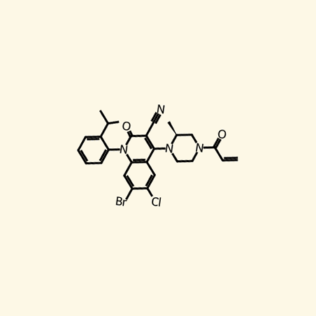 C=CC(=O)N1CCN(c2c(C#N)c(=O)n(-c3ccccc3C(C)C)c3cc(Br)c(Cl)cc23)[C@@H](C)C1